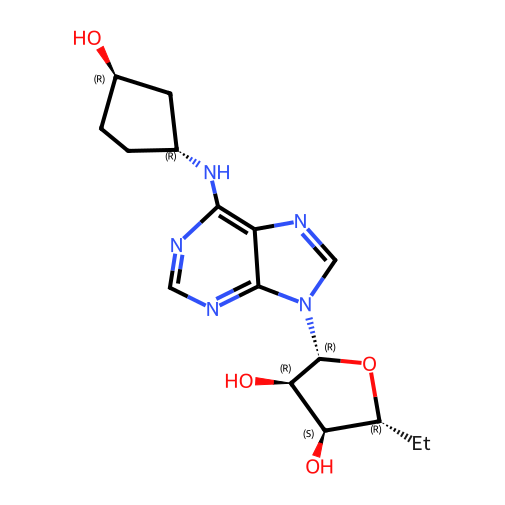 CC[C@H]1O[C@@H](n2cnc3c(N[C@@H]4CC[C@@H](O)C4)ncnc32)[C@H](O)[C@@H]1O